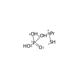 CCCS.O=P(O)(O)O